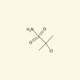 CC(C)(Cl)S(N)(=O)=O